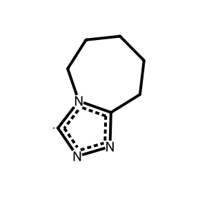 [c]1nnc2n1CCCCC2